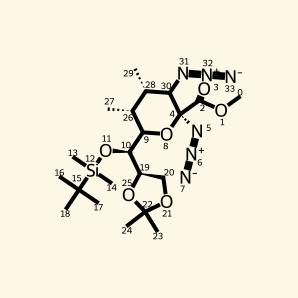 COC(=O)[C@@]1(N=[N+]=[N-])OC([C@H](O[Si](C)(C)C(C)(C)C)[C@H]2COC(C)(C)O2)[C@H](C)[C@H](C)C1N=[N+]=[N-]